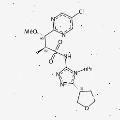 CCCn1c(NS(=O)(=O)[C@@H](C)[C@H](OC)c2ncc(Cl)cn2)nnc1[C@@H]1CCOC1